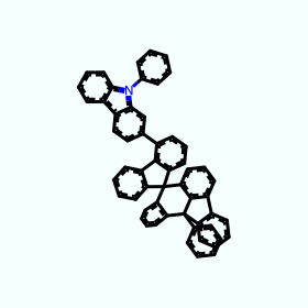 c1ccc(-n2c3ccccc3c3ccc(-c4cccc5c4-c4ccccc4C54c5ccccc5C5(c6ccccc6)c6ccccc6-c6cccc4c65)cc32)cc1